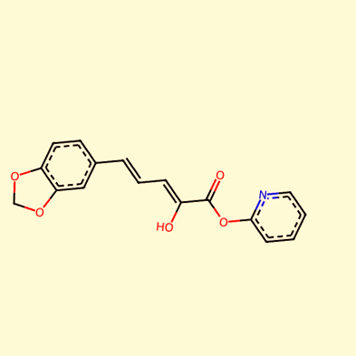 O=C(Oc1ccccn1)C(O)=CC=Cc1ccc2c(c1)OCO2